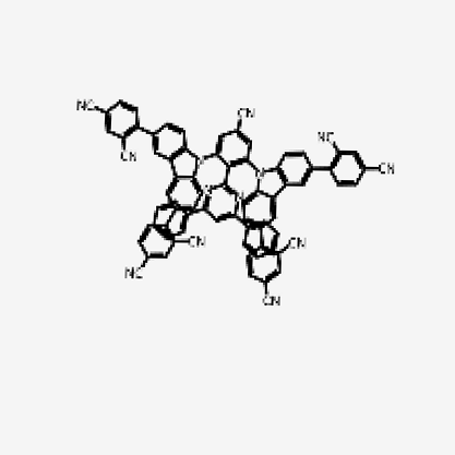 N#Cc1ccc(-c2ccc3c(c2)c2cc(-c4ccc(C#N)cc4C#N)ccc2n3-c2cc(C#N)cc(-n3c4ccc(-c5ccc(C#N)cc5C#N)cc4c4cc(-c5ccc(C#N)cc5C#N)ccc43)c2-c2nc(-c3ccccc3)cc(-c3ccccc3)n2)c(C#N)c1